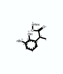 CCCCCCOC(=O)C(C)c1cccc(CCCC)c1O